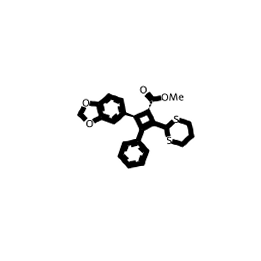 COC(=O)[C@@H]1C(C2SCCCS2)=C(c2ccccc2)[C@H]1c1ccc2c(c1)OCO2